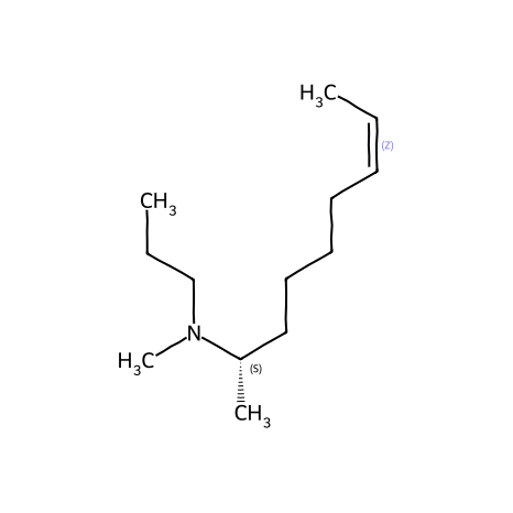 C/C=C\CCCC[C@H](C)N(C)CCC